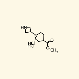 COC(=O)C1CCN(C2CNC2)CC1.Cl.Cl